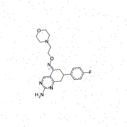 Nc1ncc2c(n1)CC(c1ccc(F)cc1)C/C2=N\OCCN1CCOCC1